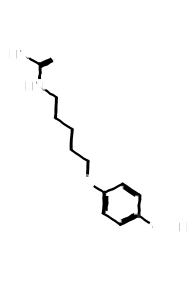 [NH]C(=O)NCCCCCOc1ccc(C(=O)O)cc1